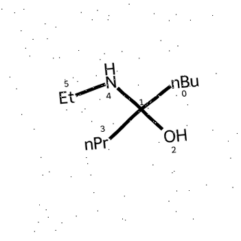 CCCCC(O)(CCC)NCC